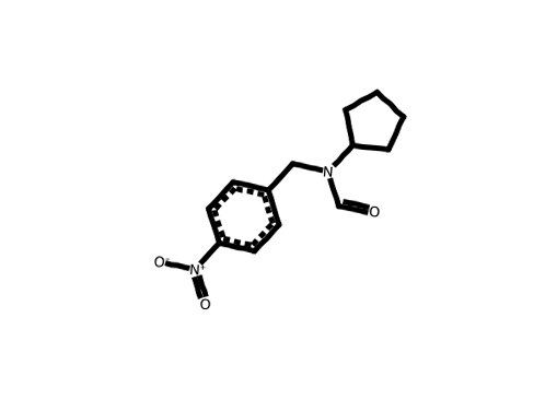 O=CN(Cc1ccc([N+](=O)[O-])cc1)C1CCCC1